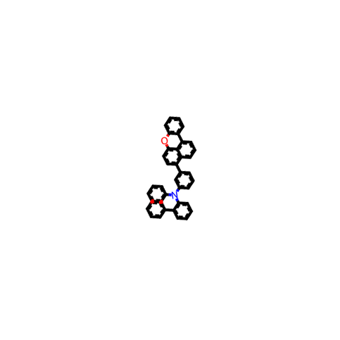 c1ccc(-c2ccccc2N(c2ccccc2)c2cccc(-c3ccc4c5c(cccc35)-c3ccccc3O4)c2)cc1